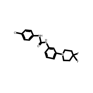 O=C(Nc1ccc(Cl)cc1)Nc1cccc(N2CCC(F)(F)CC2)c1